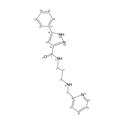 O=C(NCCCNCc1ccccn1)c1cc(-c2ccccc2)[nH]n1